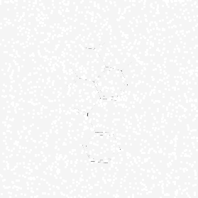 O=C(c1ccccc1)c1ccc(Cl)c([N+](=O)[O-])c1[N+](=O)[O-]